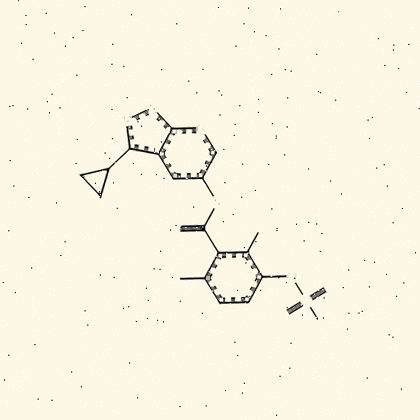 CCS(=O)(=O)Nc1ccc(F)c(C(=O)Nc2cnc3[nH]nc(C4CC4)c3c2)c1F